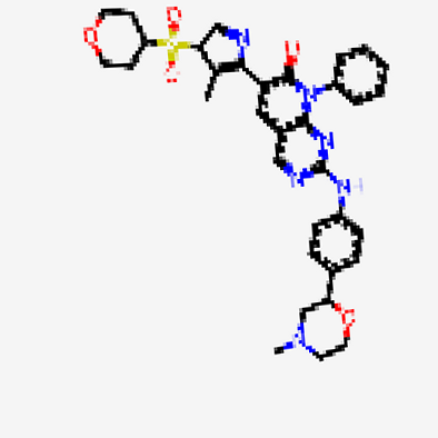 CC1=C(c2cc3cnc(Nc4ccc(C5CN(C)CCO5)cc4)nc3n(-c3ccccc3)c2=O)N=CC1S(=O)(=O)C1CCOCC1